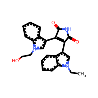 CCn1cc(C2=C(c3cn(CCO)c4ccccc34)C(=O)NC2=O)c2ccccc21